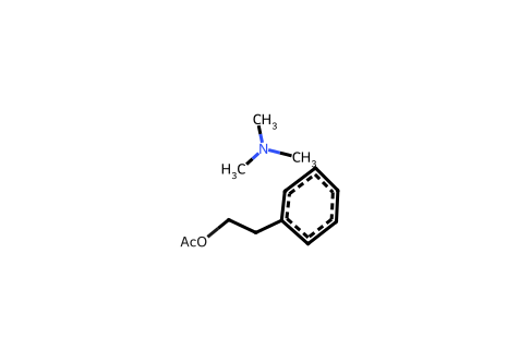 CC(=O)OCCc1ccccc1.CN(C)C